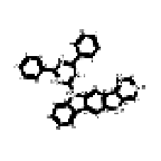 c1ccc(-c2nc(-c3ccccc3)nc(-n3c4ccccc4c4cc5sc6cncnc6c5cc43)n2)cc1